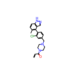 C=CC(=O)N1CCN(Cc2ccc(-c3c(C)ccc4[nH]ncc34)c(Cl)c2)CC1